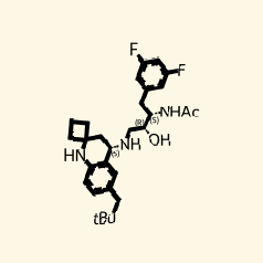 CC(=O)N[C@@H](Cc1cc(F)cc(F)c1)[C@H](O)CN[C@H]1CC2(CCC2)Nc2ccc(CC(C)(C)C)cc21